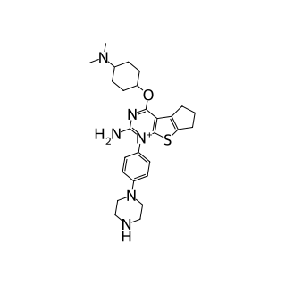 CN(C)C1CCC(Oc2nc(N)[n+](-c3ccc(N4CCNCC4)cc3)c3sc4c(c23)CCC4)CC1